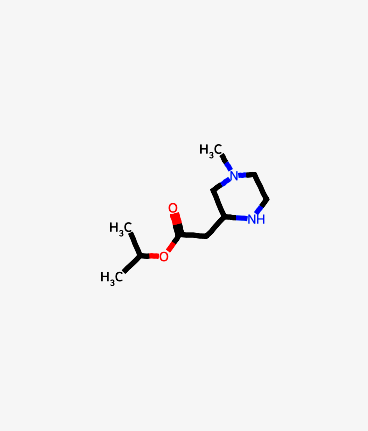 CC(C)OC(=O)CC1CN(C)CCN1